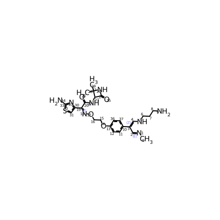 C/N=C/C(=C\NCCCN)c1ccc(OCCO/N=C(\C(=O)NC2C(=O)NC2(C)C)c2csc(N)n2)cc1